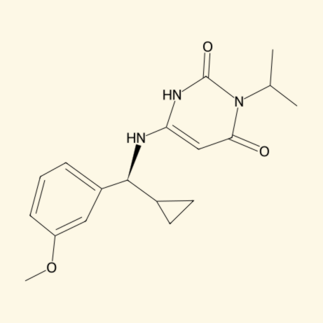 COc1cccc([C@@H](Nc2cc(=O)n(C(C)C)c(=O)[nH]2)C2CC2)c1